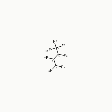 FC(F)C(F)C(F)C(F)(F)F